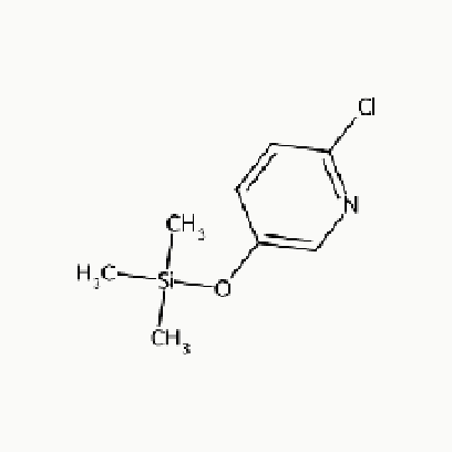 C[Si](C)(C)Oc1ccc(Cl)nc1